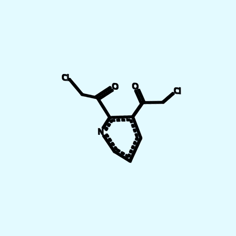 O=C(CCl)c1cccnc1C(=O)CCl